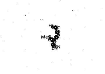 CCOc1ccc(F)c(N2CCC(Oc3ccc(N4N=C(c5ccc(C#N)c(C#N)c5)C(C)C4CC(=O)OC)cc3)CC2)c1